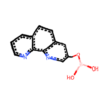 OB(O)Oc1cnc2c(ccc3cccnc32)c1